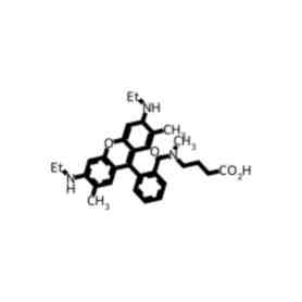 CCNc1cc2c(cc1C)C(c1ccccc1C(=O)N(C)CCCC(=O)O)=C1C=C(C)C(NCC)C=C1O2